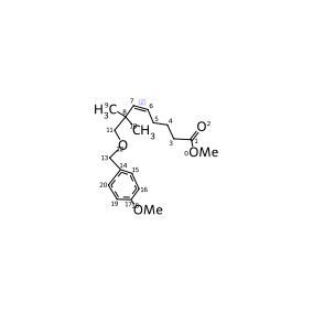 COC(=O)CCC/C=C\C(C)(C)COCc1ccc(OC)cc1